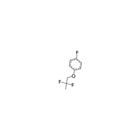 CC(F)(F)COc1ccc(F)cc1